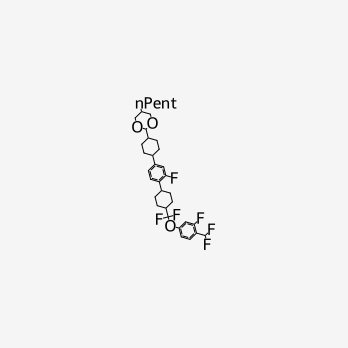 CCCCCC1COC(C2CCC(c3ccc(C4CCC(C(F)(F)Oc5ccc(C(F)F)c(F)c5)CC4)c(F)c3)CC2)OC1